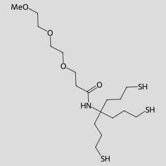 COCCOCCOCCC(=O)NC(CCCS)(CCCS)CCCS